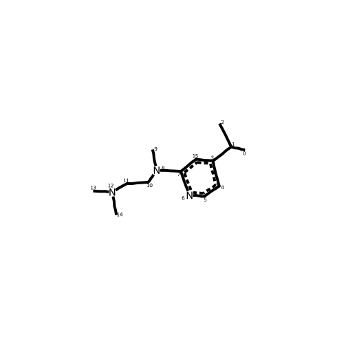 CC(C)c1ccnc(N(C)CCN(C)C)c1